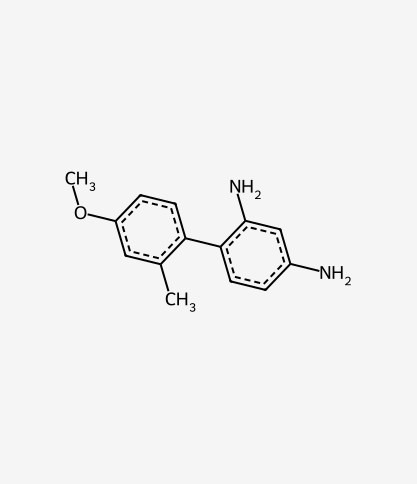 COc1ccc(-c2ccc(N)cc2N)c(C)c1